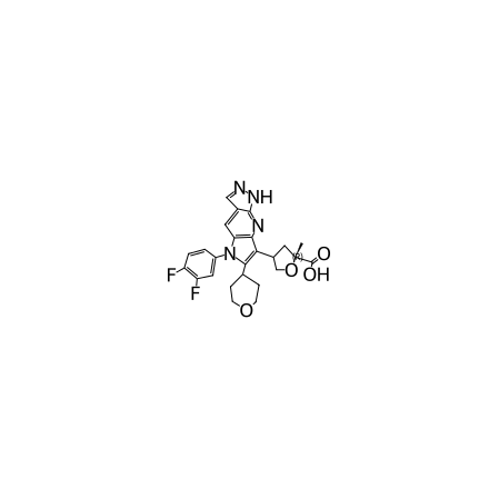 C[C@]1(C(=O)O)CC(c2c(C3CCOCC3)n(-c3ccc(F)c(F)c3)c3cc4cn[nH]c4nc23)CO1